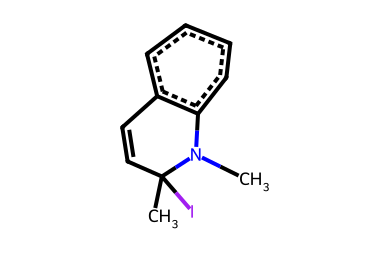 CN1c2ccccc2C=CC1(C)I